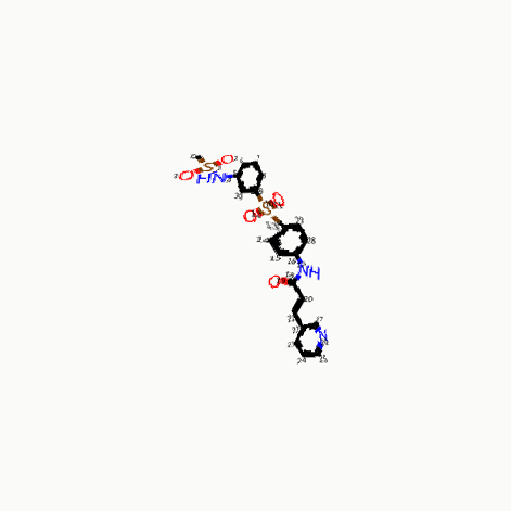 CS(=O)(=O)Nc1cccc(S(=O)(=O)c2ccc(NC(=O)C=Cc3cccnc3)cc2)c1